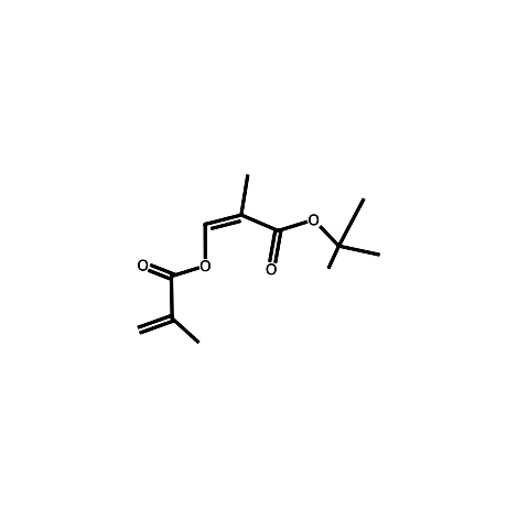 C=C(C)C(=O)OC=C(C)C(=O)OC(C)(C)C